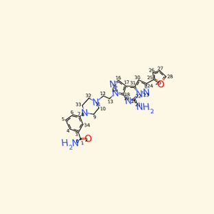 NC(=O)c1cccc(N2CCN(CCn3ncc4c3nc(N)n3nc(-c5ccco5)cc43)CC2)c1